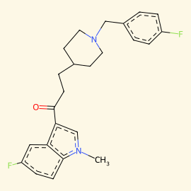 Cn1cc(C(=O)CCC2CCN(Cc3ccc(F)cc3)CC2)c2cc(F)ccc21